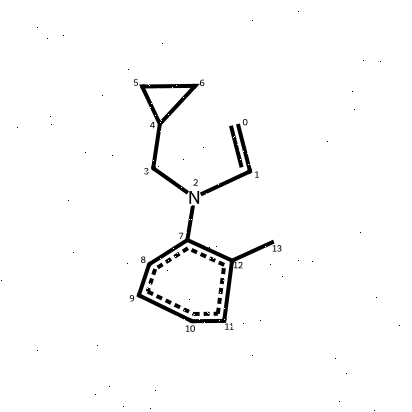 C=CN(CC1CC1)c1ccccc1C